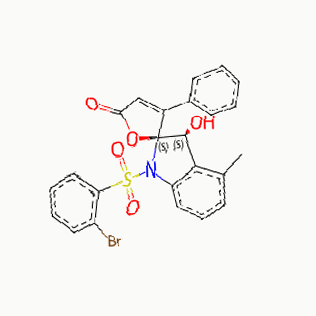 Cc1cccc2c1[C@H](O)[C@]1(OC(=O)C=C1c1ccccc1)N2S(=O)(=O)c1ccccc1Br